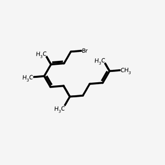 CC(C)=CCCC(C)CC=C(C)C(C)=CCBr